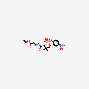 CCOC(=O)CCNC(=O)[C@@H]1OP(=O)(Oc2ccc([N+](=O)[O-])cc2)OCC1(C)C